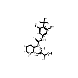 C[C@H](O)C(=O)N[C@@H](C(=O)Nc1cc(F)c(C(C)(C)C)c(F)c1)C1CCCOC1